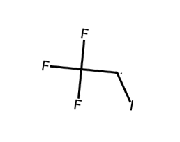 FC(F)(F)[CH]I